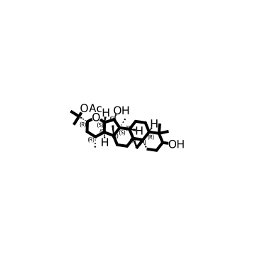 CC(=O)OC(C)(C)[C@H]1C[C@@H](C)[C@H]2[C@H](O1)[C@H](O)[C@@]1(C)[C@@H]3CC[C@H]4C(C)(C)C(O)CC[C@@]45C[C@@]35CC[C@]21C